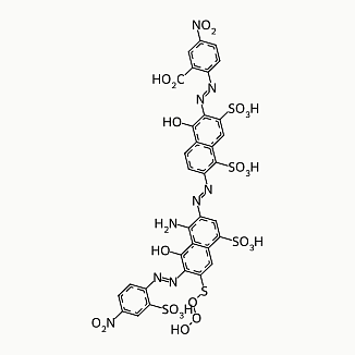 Nc1c(N=Nc2ccc3c(O)c(N=Nc4ccc([N+](=O)[O-])cc4C(=O)O)c(S(=O)(=O)O)cc3c2S(=O)(=O)O)cc(S(=O)(=O)O)c2cc(SOOO)c(N=Nc3ccc([N+](=O)[O-])cc3S(=O)(=O)O)c(O)c12